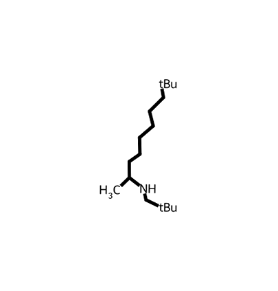 CC(CCCCCCC(C)(C)C)NCC(C)(C)C